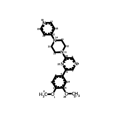 COc1ccc(-c2cncc(N3CCN(c4ccncc4)CC3)n2)cc1OC